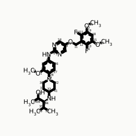 COc1cc(Nc2ncc(OCc3c(F)c(OC)cc(OC)c3F)cn2)ccc1N1CCC(N[C@@H](C(C)C)C(C)O)CC1